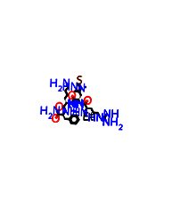 CCN[C@H](CCCNC(=N)N)C(=O)N[C@@H](Cc1c[nH]c(=S)n1C)C(=O)N[C@@H](CCCCN)C(=O)N[C@@H](Cc1ccccc1)C(N)=O